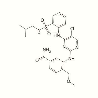 COCc1ccc(C(N)=O)cc1Nc1ncc(Cl)c(Nc2ccccc2S(=O)(=O)NCC(C)C)n1